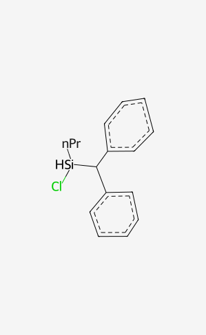 CCC[SiH](Cl)C(c1ccccc1)c1ccccc1